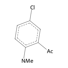 CNc1ccc(Cl)cc1C(C)=O